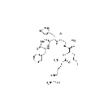 CCCC[C@H](NC(=O)[C@@H](N)CCCNC(=N)N)C(=O)N[C@@H](CS)C(=O)N[C@@H](Cc1c[nH]cn1)C(=O)N[C@H](Cc1ccccc1)C(=O)O